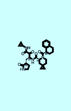 O=C(NC1CC1)C(=O)[C@H](C[C@@H]1CCNC1=O)NC(=O)[C@@H]1CC2(CCN1C(=O)[C@@H]1CCCc3ccccc31)CC2